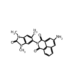 Cc1cc2c(cc1N1C(=O)c3cccc4cc(N)cc(c34)C1=O)n(C)c(=O)n2C